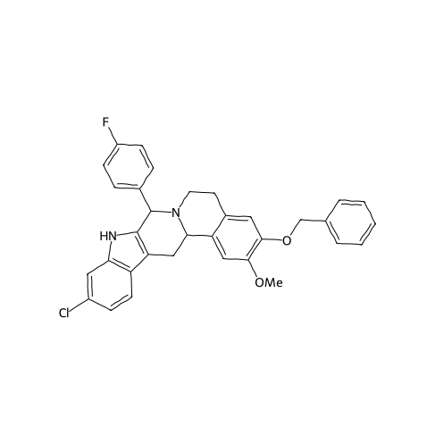 COc1cc2c(cc1OCc1ccccc1)CCN1C2Cc2c([nH]c3cc(Cl)ccc23)C1c1ccc(F)cc1